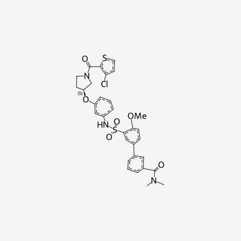 COc1ccc(-c2cccc(C(=O)N(C)C)c2)cc1S(=O)(=O)Nc1cccc(O[C@H]2CCN(C(=O)c3sccc3Cl)C2)c1